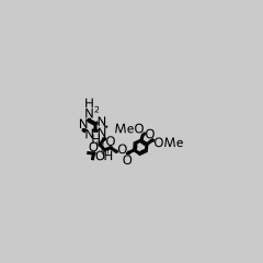 COC1OC(OC)c2cc(C(=O)OCC3OC(n4cnc5c(N)ncnc54)[C@@H]4OC(C)(C)O[C@H]34)ccc21